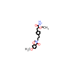 CCOC(Cc1ccc(CCCN2COc3cc(OC)ccc3C2=O)cc1)C(N)=O